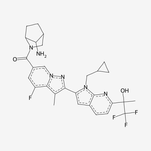 Cc1c(-c2cc3ccc(C(C)(O)C(F)(F)F)nc3n2CC2CC2)nn2cc(C(=O)N3CC4CCC3C4N)cc(F)c12